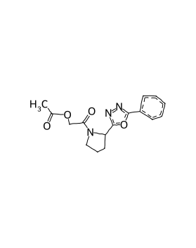 CC(=O)OCC(=O)N1CCCC1c1nnc(-c2ccccc2)o1